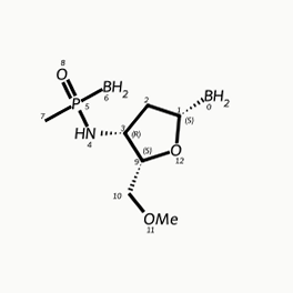 B[C@H]1C[C@@H](NP(B)(C)=O)[C@@H](COC)O1